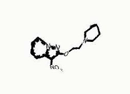 O=[N+]([O-])c1c(OCCN2CCCCC2)nn2ccccc12